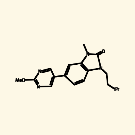 COc1ncc(-c2ccc3c(c2)n(C)c(=O)n3CCC(C)C)cn1